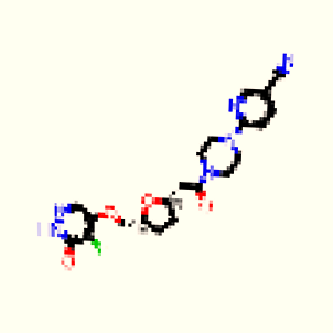 N#Cc1ccc(N2CCN(C(=O)C[C@@H]3CC[C@H](COc4cn[nH]c(=O)c4Cl)O3)CC2)nc1